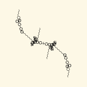 CCCCCCCCCCC(Oc1ccc(C(C)(C)c2ccc(OC(CCCCCCCCCC)[Si](C)(O[Si](C)(C)C)O[Si](C)(CCCCCCCCCCCOc3ccc(-c4ccc(C(=O)OC5CCC(CCCCC)CC5)cc4)cc3)O[Si](C)(C)C)cc2)cc1)[Si](C)(O[Si](C)(C)C)O[Si](C)(CCCCCCCCCCCOc1ccc(-c2ccc(C(=O)OC3CCC(CCCCC)CC3)cc2)cc1)O[Si](C)(C)C